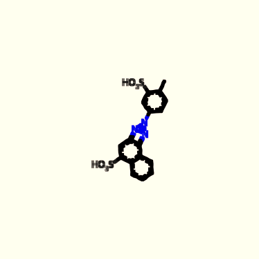 Cc1ccc(-n2n3c4cc(S(=O)(=O)O)c5ccccc5c4n23)cc1S(=O)(=O)O